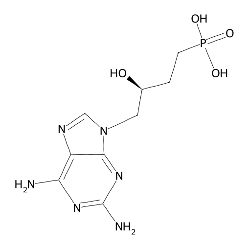 Nc1nc(N)c2ncn(C[C@@H](O)CCP(=O)(O)O)c2n1